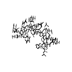 CNC(=O)[C@H](CC(C)C)NC(=O)[C@H](CO)NC(=O)[C@H](Cc1cnc[nH]1)NC(=O)[C@H](CC(C)C)NC(=O)[C@H](CC(C)C)NC(=O)[C@H](Cc1cnc[nH]1)NC(=O)C(CC(C)C)NC(=O)[C@H](CC(C)C)NC(=O)[C@H](C)NC(=O)[C@H](Cc1cnc[nH]1)NC(=O)[C@H](Cc1ccccc1)NC(=O)[C@@H](C)CC(C)C